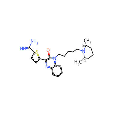 C[C@@H]1CCC[C@H](C)N1CCCCCn1c(=O)c(-c2ccc(C(=N)N)s2)nc2ccccc21